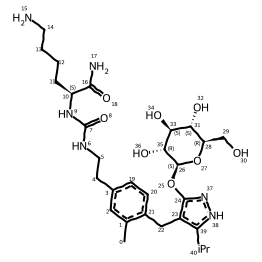 Cc1cc(CCNC(=O)N[C@@H](CCCCN)C(N)=O)ccc1Cc1c(O[C@@H]2O[C@H](CO)[C@@H](O)[C@H](O)[C@H]2O)n[nH]c1C(C)C